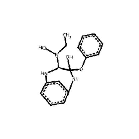 CCN(O)C1Nc2cccc(c2)NC1(O)Oc1ccccc1